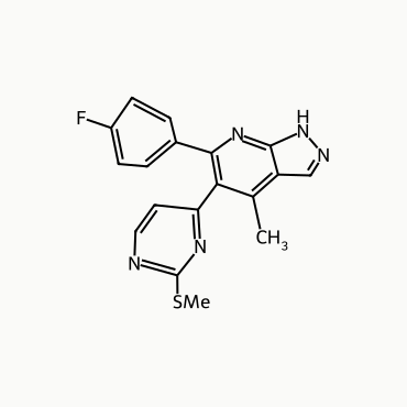 CSc1nccc(-c2c(-c3ccc(F)cc3)nc3[nH]ncc3c2C)n1